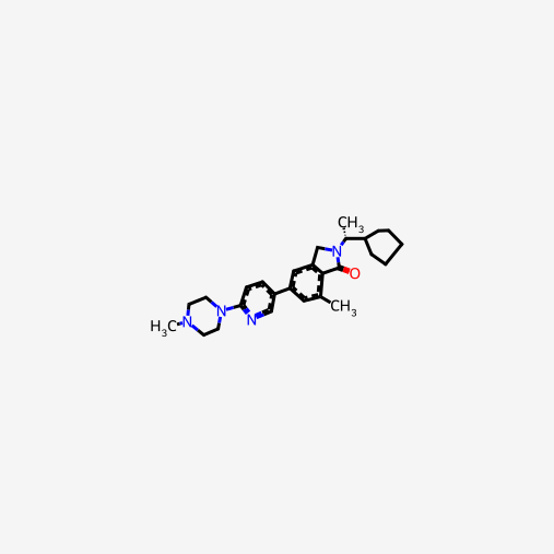 Cc1cc(-c2ccc(N3CCN(C)CC3)nc2)cc2c1C(=O)N([C@H](C)C1CCCCC1)C2